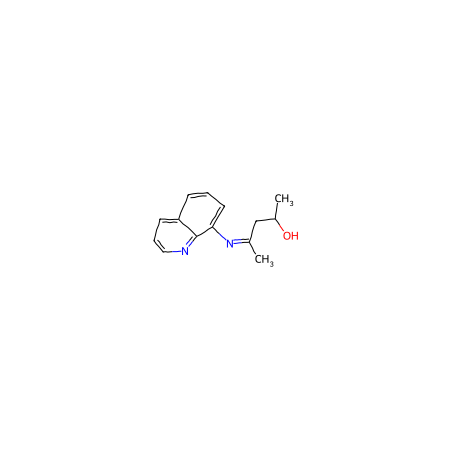 CC(CC(C)O)=Nc1cccc2cccnc12